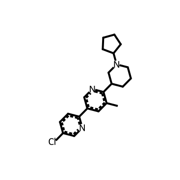 Cc1cc(-c2ccc(Cl)cn2)cnc1C1CCCN(C2CCCC2)C1